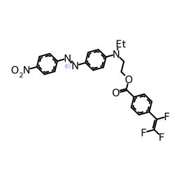 CCN(CCOC(=O)c1ccc(C(F)=C(F)F)cc1)c1ccc(/N=N/c2ccc([N+](=O)[O-])cc2)cc1